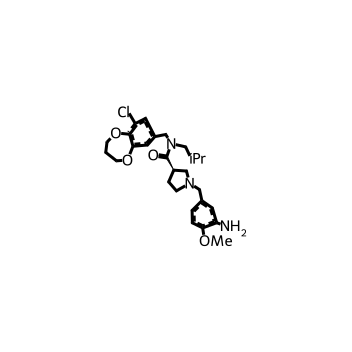 COc1ccc(CN2CC[C@@H](C(=O)N(Cc3cc(Cl)c4c(c3)OCCCO4)CC(C)C)C2)cc1N